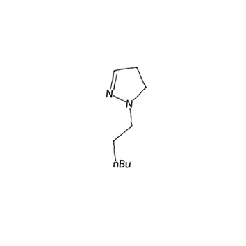 CCCCCCN1CCC=N1